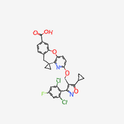 O=C(O)c1ccc2c(c1)Oc1ccc(OCc3c(-c4c(Cl)cc(F)cc4Cl)noc3C3CC3)nc1C1(CC1)C2